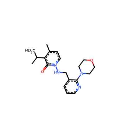 Cc1ccn(NCc2cccnc2N2CCOCC2)c(=O)c1C(C)C(=O)O